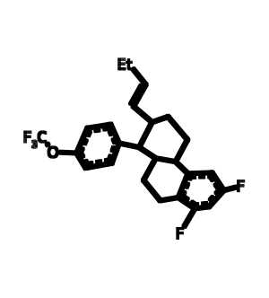 CCC=CC1CCC2c3cc(F)cc(F)c3CCC2C1c1ccc(OC(F)(F)F)cc1